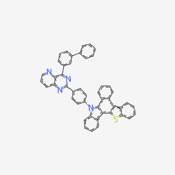 c1ccc(-c2cccc(-c3nc(-c4ccc(-n5c6ccccc6c6c7sc8ccccc8c7c7ccccc7c65)cc4)nc4cccnc34)c2)cc1